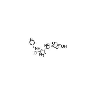 Cc1nc(C(=O)NCc2ccncc2)cc(C2=NOC([C@H]3CO[C@H](CO)CO3)C2)n1